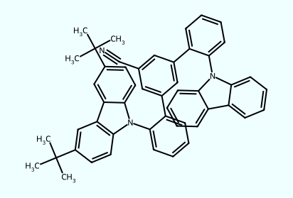 CC(C)(C)c1ccc2c(c1)c1cc(C(C)(C)C)ccc1n2-c1ccccc1-c1cc(C#N)cc(-c2ccccc2-n2c3ccccc3c3ccccc32)c1